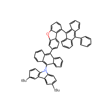 CC(C)(C)c1ccc2c(c1)c1cc(C(C)(C)C)ccc1n2-c1c2ccccc2c(-c2ccc3c(c2)oc2cccc(-c4c5ccccc5c(-c5ccccc5)c5ccccc45)c23)c2ccccc12